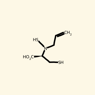 C=CCN(S)[C@@H](CS)C(=O)O